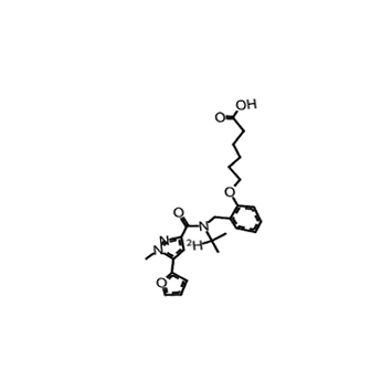 [2H]C(C)(C)N(Cc1ccccc1OCCCCCC(=O)O)C(=O)c1cc(-c2ccco2)n(C)n1